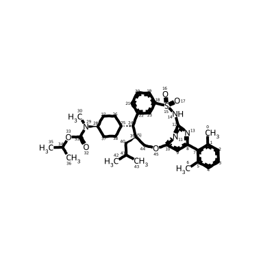 Cc1cccc(C)c1-c1cc2nc(n1)NS(=O)(=O)c1cccc(c1)C([C@H]1CC[C@H](N(C)C(=O)OC(C)C)CC1)[C@H](CC(C)C)CO2